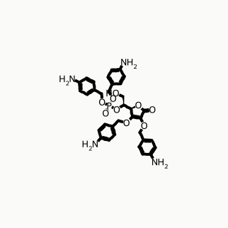 Nc1ccc(COC2=C(OCc3ccc(N)cc3)[C@@H]([C@H](CO)OP(=O)(OCc3ccc(N)cc3)OCc3ccc(N)cc3)OC2=O)cc1